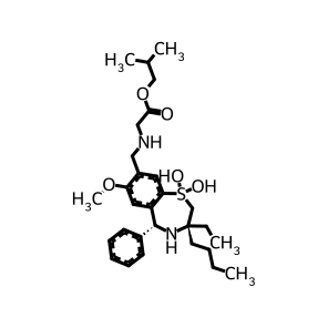 CCCC[C@]1(CC)CS(O)(O)c2cc(CNCC(=O)OCC(C)C)c(OC)cc2[C@@H](c2ccccc2)N1